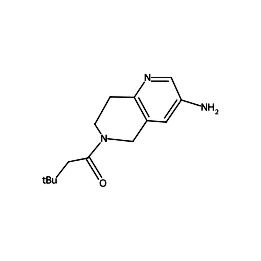 CC(C)(C)CC(=O)N1CCc2ncc(N)cc2C1